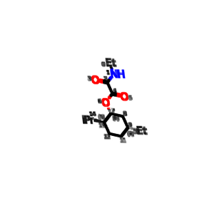 CCNC(=O)C(=O)O[C@@H]1C[C@H](CC)CC[C@H]1C(C)C